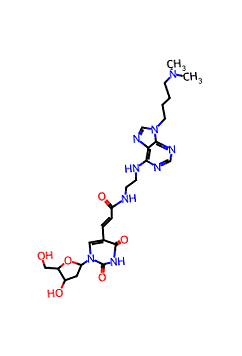 CN(C)CCCCn1cnc2c(NCCNC(=O)/C=C/c3cn(C4CC(O)C(CO)O4)c(=O)[nH]c3=O)ncnc21